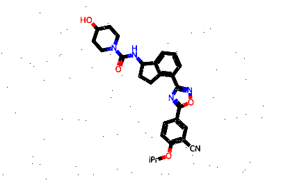 CC(C)Oc1ccc(-c2nc(-c3cccc4c3CCC4NC(=O)N3CCC(O)CC3)no2)cc1C#N